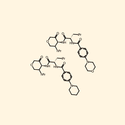 CCCC1COCC(=O)[C@H]1NC(=O)[C@H](CC(C)C)NC(=O)c1ccc(N2CCCCC2)cc1.CCCC1COCC(=O)[C@H]1NC(=O)[C@H](CC(C)C)NC(=O)c1ccc(N2CCOCC2)cc1